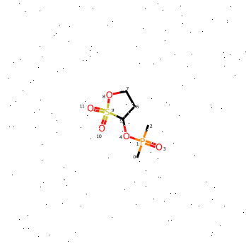 CP(C)(=O)OC1CCOS1(=O)=O